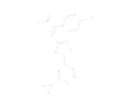 N#Cc1ccc(/C(=C\n2cnc(-c3cc(C4CC4)nc(C(F)(F)F)c3)n2)C(N)=O)cc1